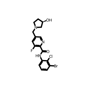 O=C(Nc1cccc(Br)c1Cl)c1ncc(CN2CC[C@@H](O)C2)cc1F